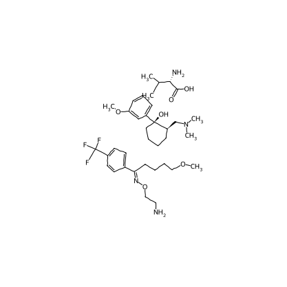 CC(C)[C@H](N)C(=O)O.COCCCC/C(=N\OCCN)c1ccc(C(F)(F)F)cc1.COc1cccc([C@@]2(O)CCCC[C@@H]2CN(C)C)c1